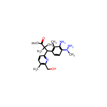 COC(=O)C(C)(C)C(c1ccc(C)c(CO)n1)c1ccc(N(C)N)c(N)c1C